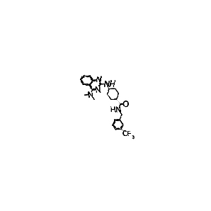 CN(C)c1nc(N[C@H]2CC[C@@H](C(=O)NCc3cccc(C(F)(F)F)c3)CC2)nc2ccccc12